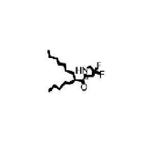 CCCCCCCC(CCCCC)C(=O)[C@@H]1CC(F)(F)CN1